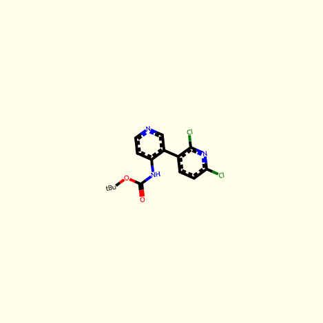 CC(C)(C)OC(=O)Nc1ccncc1-c1ccc(Cl)nc1Cl